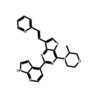 CC1COCCN1c1nc(-c2ccnc3[nH]ccc23)nc2c(C=Cc3ccccn3)csc12